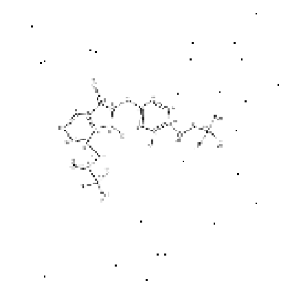 Cc1cc(CN2C(=O)c3ccnc(NC(=O)C(C)(C)O)c3C2C)cnc1OCC(F)(F)F